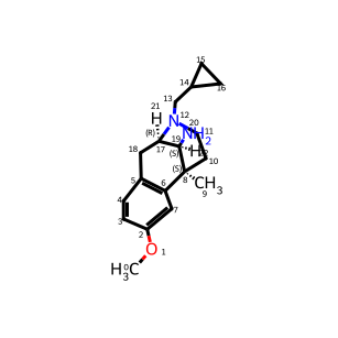 COc1ccc2c(c1)[C@]1(C)CCN(CC3CC3)[C@H](C2)[C@H]1N